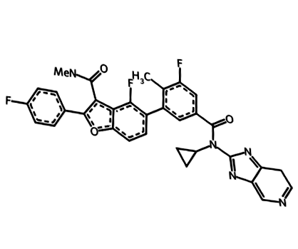 CNC(=O)c1c(-c2ccc(F)cc2)oc2ccc(-c3cc(C(=O)N(C4=NC5=CN=CCC5=N4)C4CC4)cc(F)c3C)c(F)c12